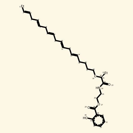 CCC=CCC=CCC=CCC=CCC=CCCCCO[C@@H](CC)C(=O)NCCOC(=O)c1ccccc1O